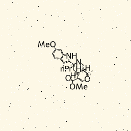 CCCc1c([C@@H]2C[C@@H]3C(C(=O)OC)=CO[C@@H](C)[C@H]3CN2)[nH]c2cc(OC)ccc12